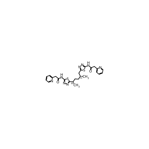 C[C@@H](CC[C@@H](C)c1nnc(NC(=O)Cc2ccccn2)s1)Cc1nnc(NC(=O)Cc2ccccn2)s1